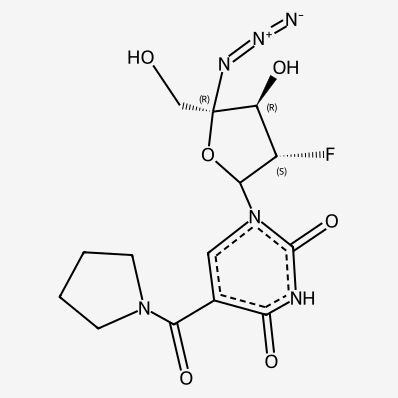 [N-]=[N+]=N[C@]1(CO)OC(n2cc(C(=O)N3CCCC3)c(=O)[nH]c2=O)[C@@H](F)[C@@H]1O